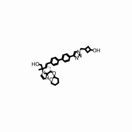 C[C@H](OC1CCCCO1)c1nccn1C(C)(/C=C/c1ccc(-c2ccc(-c3cn(CC4CC(O)C4)nn3)cc2)cc1)CO